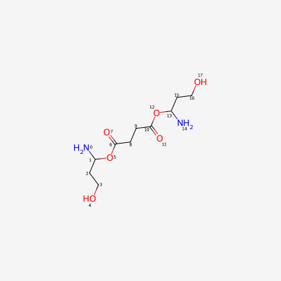 NC(CCO)OC(=O)CCC(=O)OC(N)CCO